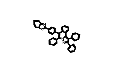 C1=CC2=NC(c3ccc(-c4c(-c5ccccc5)n5nc(-c6ccccc6)c(-c6ccccc6)c5c5ccccc45)cc3)SC2C=C1